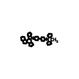 CC1C=CC=CC1N(c1ccccc1)c1ccc(-c2ccc(-n3c4ccccc4c4c5c6ccccc6ccc5c5ccccc5c43)cc2)cc1